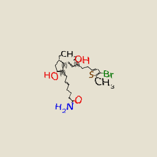 C=CC1CC(O)[C@H](CC=CCCCC(N)=O)[C@H]1C=C[C@@H](O)CCc1cc(Br)c(C)s1